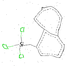 Cl[Si](Cl)(Cl)c1cccc2ccccc12